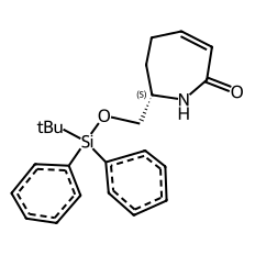 CC(C)(C)[Si](OC[C@@H]1CCC=CC(=O)N1)(c1ccccc1)c1ccccc1